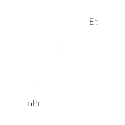 CCC=C/C=[C]/CCC